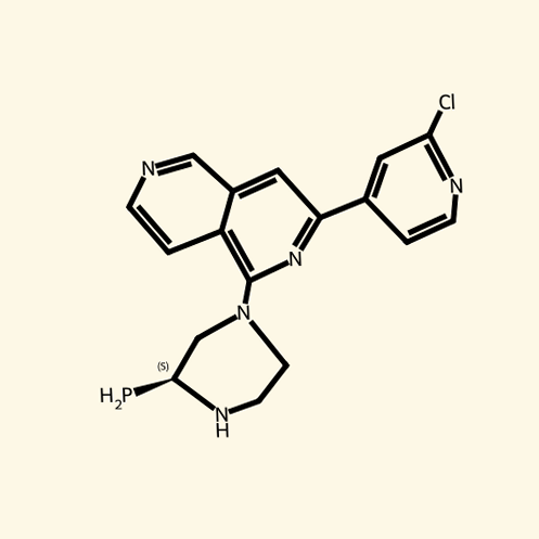 P[C@H]1CN(c2nc(-c3ccnc(Cl)c3)cc3cnccc23)CCN1